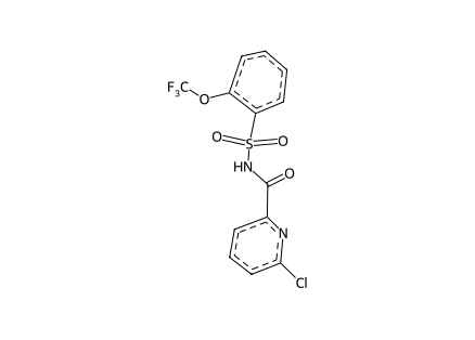 O=C(NS(=O)(=O)c1ccccc1OC(F)(F)F)c1cccc(Cl)n1